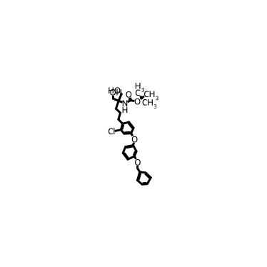 CC(C)(C)OC(=O)NC(CO)(CO)CCCc1ccc(Oc2cccc(OCc3ccccc3)c2)cc1Cl